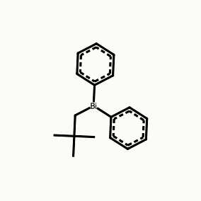 CC(C)(C)[CH2][Bi]([c]1ccccc1)[c]1ccccc1